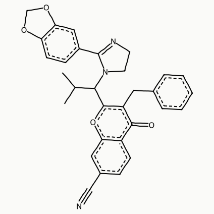 CC(C)C(c1oc2cc(C#N)ccc2c(=O)c1Cc1ccccc1)N1CCN=C1c1ccc2c(c1)OCO2